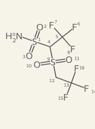 NS(=O)(=O)C(C(F)(F)F)S(=O)(=O)CC(F)(F)F